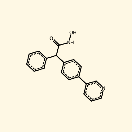 O=C(NO)C(c1ccccc1)c1ccc(-c2cccnc2)cc1